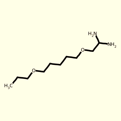 CCCOCCCCCOCC(N)N